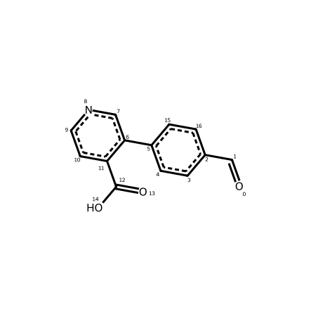 O=Cc1ccc(-c2cnccc2C(=O)O)cc1